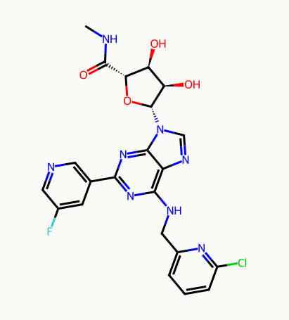 CNC(=O)[C@H]1O[C@@H](n2cnc3c(NCc4cccc(Cl)n4)nc(-c4cncc(F)c4)nc32)[C@H](O)[C@@H]1O